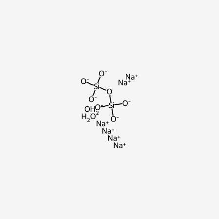 O.O.[Na+].[Na+].[Na+].[Na+].[Na+].[Na+].[O-][Si]([O-])([O-])O[Si]([O-])([O-])[O-]